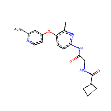 CC(=O)Nc1cc(Oc2ccc(NC(=O)CNC(=O)C3CCC3)nc2C)ccn1